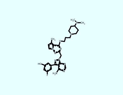 Cc1ccn2nc(Cn3nc(-c4cc(O)cc(F)c4)c4c(N)ncnc43)nc(OCCCN3CCC(N(C)C)CC3)c12